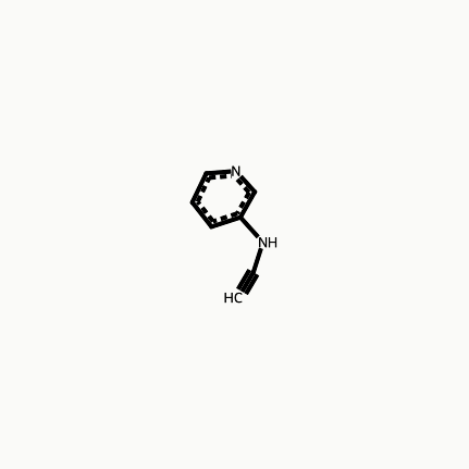 C#CNc1cccnc1